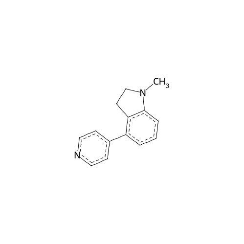 CN1CCc2c(-c3ccncc3)cccc21